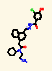 NCCN(C(=O)Cc1ccc(/C=N/NC(=O)c2ccc(O)c(Cl)c2)c2ccccc12)C1CCCCC1